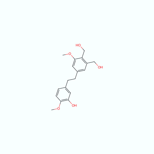 COc1ccc(CCc2cc(CO)c(CO)c(OC)c2)cc1O